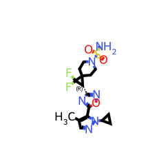 Cc1cnn(C2CC2)c1-c1nc([C@@H]2C(F)(F)C23CCN(S(N)(=O)=O)CC3)no1